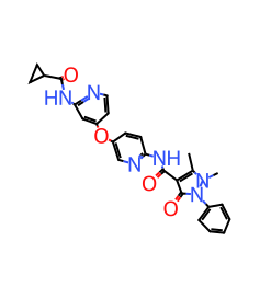 Cc1c(C(=O)Nc2ccc(Oc3ccnc(NC(=O)C4CC4)c3)cn2)c(=O)n(-c2ccccc2)n1C